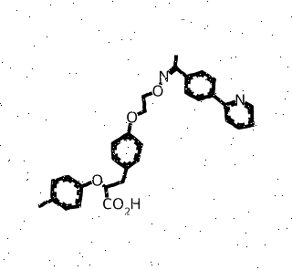 CC(=NOCCOc1ccc(CC(Oc2ccc(C)cc2)C(=O)O)cc1)c1ccc(-c2ccccn2)cc1